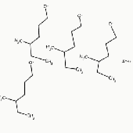 CCC(C)CCC[O-].CCC(C)CCC[O-].CCC(C)CCC[O-].CCC(C)CCC[O-].[Sn+4]